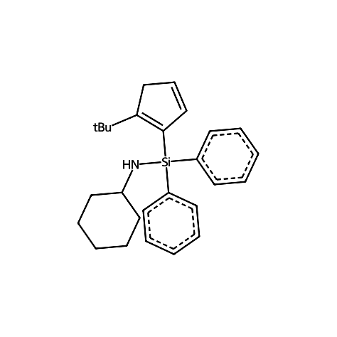 CC(C)(C)C1=C([Si](NC2CCCCC2)(c2ccccc2)c2ccccc2)C=CC1